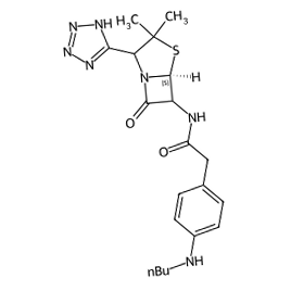 CCCCNc1ccc(CC(=O)NC2C(=O)N3C(c4nnn[nH]4)C(C)(C)S[C@@H]23)cc1